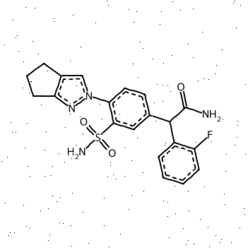 NC(=O)C(c1ccc(-n2cc3c(n2)CCC3)c(S(N)(=O)=O)c1)c1ccccc1F